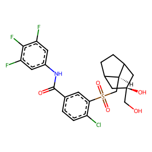 O=C(Nc1cc(F)c(F)c(F)c1)c1ccc(Cl)c(S(=O)(=O)C[C@H]2C3CCC2C[C@](O)(CO)C3)c1